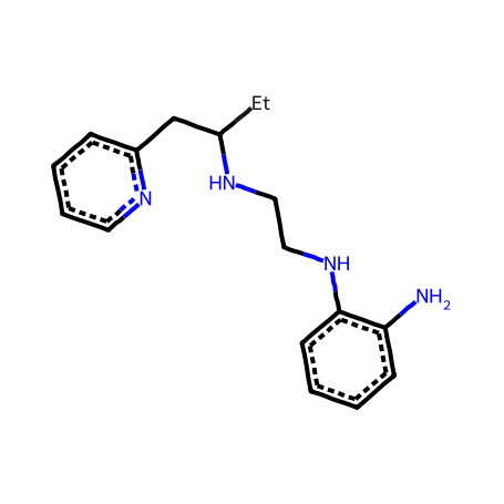 CCC(Cc1ccccn1)NCCNc1ccccc1N